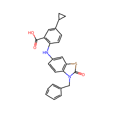 O=C(O)c1cc(C2CC2)ccc1Nc1ccc2c(c1)sc(=O)n2Cc1ccccc1